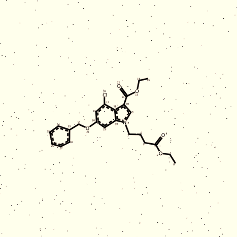 CCOC(=O)CCCn1cc(C(=O)OCC)c2c(Cl)cc(OCc3ccccc3)cc21